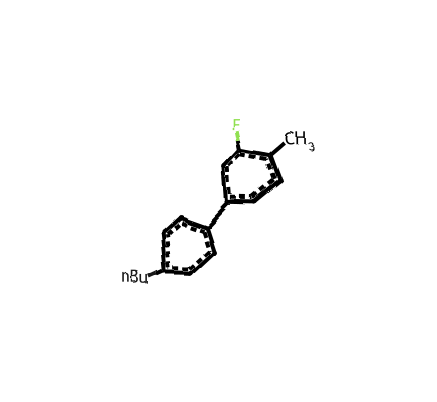 CCCCc1ccc(-c2ccc(C)c(F)c2)cc1